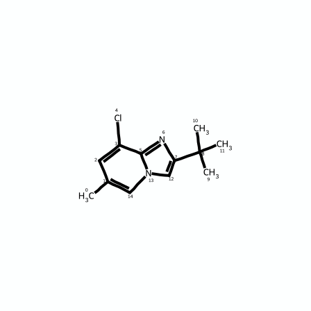 Cc1cc(Cl)c2nc(C(C)(C)C)cn2c1